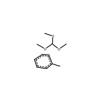 COC(OC)OC.Cc1ccccc1